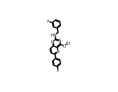 CCOc1nc(NCc2cccc(F)c2)nc2ccc(-c3ccc(F)cc3)nc12